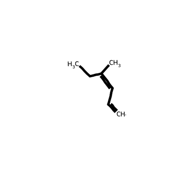 [CH]=CC=C(C)CC